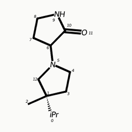 CC(C)[C@@]1(C)CCN(C2CCNC2=O)C1